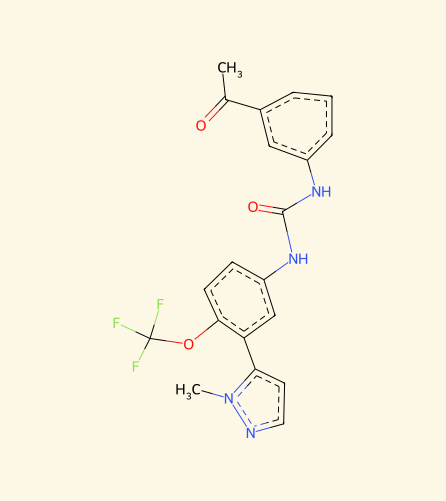 CC(=O)c1cccc(NC(=O)Nc2ccc(OC(F)(F)F)c(-c3ccnn3C)c2)c1